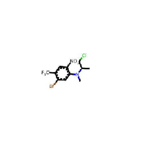 CC(CCl)N(C)c1cc(Br)c(C(F)(F)F)cc1[N+](=O)[O-]